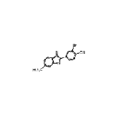 O=C(O)c1ccc2[nH]c(-c3ccc(O)c(Br)c3)nc2c1